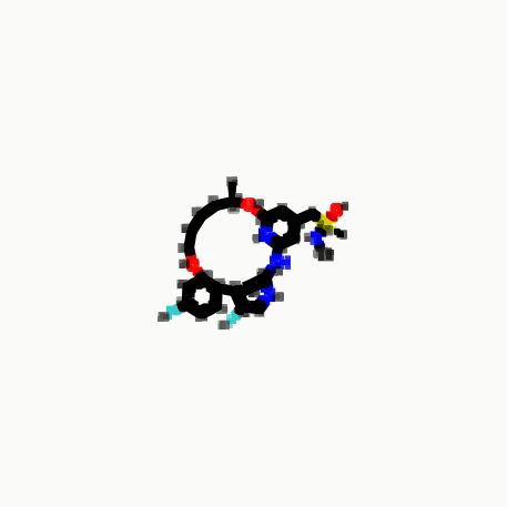 CCN=[S@](C)(=O)Cc1cc2nc(c1)O[C@H](C)CCCCOc1cc(F)ccc1-c1cc(ncc1F)N2